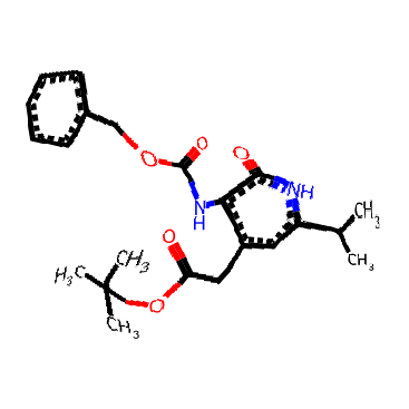 CC(C)c1cc(CC(=O)OC(C)(C)C)c(NC(=O)OCc2ccccc2)c(=O)[nH]1